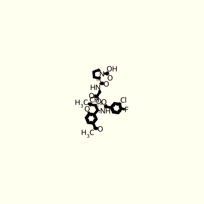 CC(=O)c1ccc2c(c1)[C@@H](NC(=O)c1ccc(F)c(Cl)c1)[C@H](OC(=O)CNC(=O)[C@@H]1CCCN1C(=O)O)C(C)(C)O2